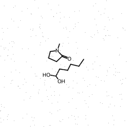 CCCCCC(O)O.CN1CCCC1=O